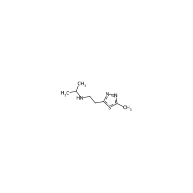 Cc1nnc(CCNC(C)C)s1